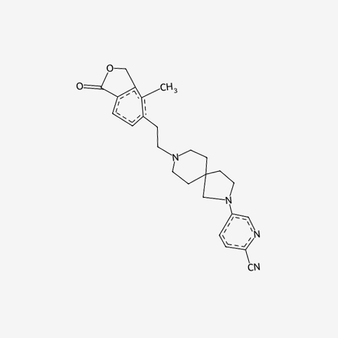 Cc1c(CCN2CCC3(CC2)CCN(c2ccc(C#N)nc2)C3)ccc2c1COC2=O